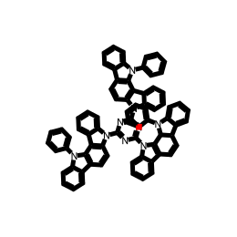 C1=CC2c3ccccc3N(c3ccccc3)C2c2c1c1ccccc1n2-c1nc(-n2c3ccccc3c3c2ccc2c4ccccc4n(-c4ccccc4)c23)nc(-n2c3ccccc3c3c2ccc2c4ccccc4n(-c4ccccc4)c23)n1